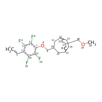 C=Cc1c(F)c(F)c(OCC2CC3CCC(CC(COC)C3)C2)c(F)c1F